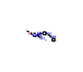 CCOCCN1CCN(c2cc(N)nc(NC3CCC(NCCCNC4CCCCC4)CC3)n2)CC1